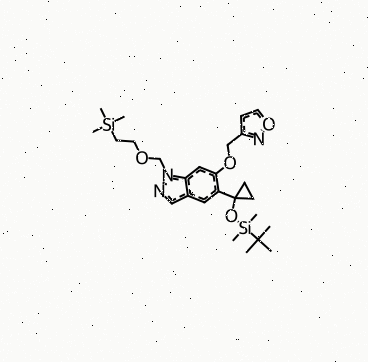 CC(C)(C)[Si](C)(C)OC1(c2cc3cnn(COCC[Si](C)(C)C)c3cc2OCc2ccon2)CC1